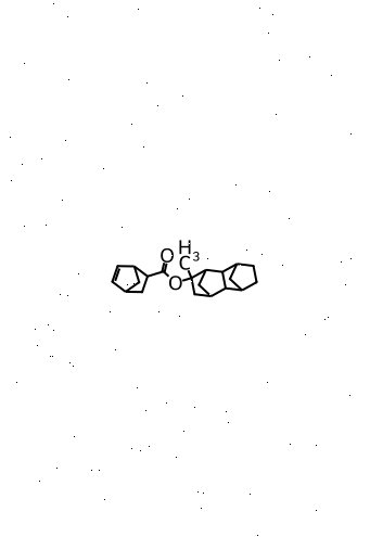 CC1(OC(=O)C2CC3C=CC2C3)CC2CC1C1C3CCC(C3)C21